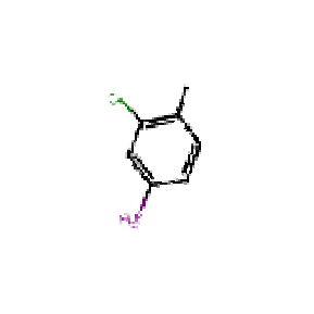 Cc1ccc(P)cc1Cl